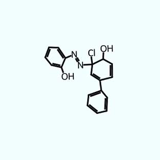 Oc1ccccc1N=NC1(Cl)C=C(c2ccccc2)C=CC1O